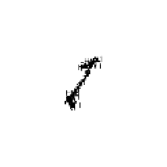 O=C(COCCOCCOCCOCCCc1ccc(CCc2c(-c3ccc(C(F)(F)F)cc3)nn(-c3nc4cc(Cl)ccc4[nH]3)c2O)cc1)NCCNc1cccc2c1C(=O)N(C1CCC(=O)NC1=O)C2=O